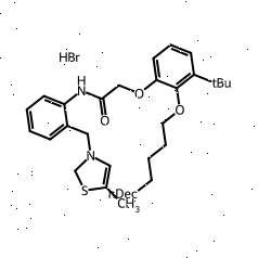 Br.CCCCCCCCCCCCCCOc1c(OCC(=O)Nc2ccccc2CN2C=C(C)SC2)cccc1C(C)(C)C